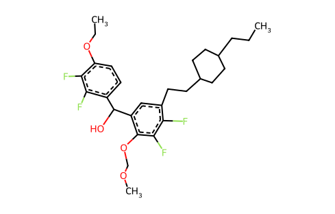 CCCC1CCC(CCc2cc(C(O)c3ccc(OCC)c(F)c3F)c(OCOC)c(F)c2F)CC1